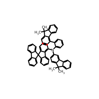 CC1(C)c2ccccc2-c2cc(N(c3ccccc3-c3cccc4c3-c3ccccc3C4(C)C)c3cccc4c3-c3ccccc3C43c4ccccc4-c4ccccc43)ccc21